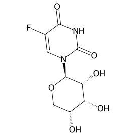 O=c1[nH]c(=O)n([C@@H]2OC[C@@H](O)[C@@H](O)[C@H]2O)cc1F